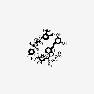 CC(O)(CS(=O)(=O)c1ccc(F)cc1)C(=O)Nc1ccc(C#N)c(C(F)(F)F)c1.C[C@H](/C=C/[C@H](C)C(C)(C)O)[C@H]1CC[C@H]2/C(=C/C=C3C[C@@H](O)C[C@H](O)C3)CCC[C@]12C.O=[As]O[As]=O